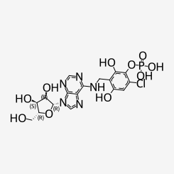 O=P(O)(O)Oc1c(Cl)cc(O)c(CNc2ncnc3c2ncn3[C@@H]2O[C@H](CO)[C@@H](O)[C@H]2O)c1O